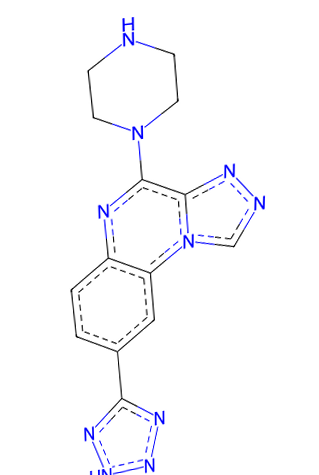 c1cc2nc(N3CCNCC3)c3nncn3c2cc1-c1nn[nH]n1